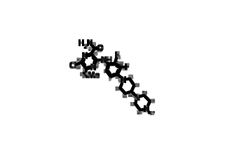 CNc1nc(Nc2ccc(N3CCC(N4CCN(C)CC4)CC3)c(F)c2F)c(C(N)=O)nc1Cl